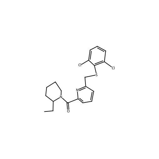 CCC1CCCCN1C(=O)c1cccc(CSc2c(Cl)cccc2Cl)n1